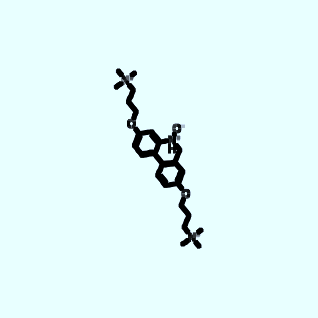 C[N+](C)(C)CCCOc1ccc2c(c1)C[NH+]([O-])c1cc(OCCC[N+](C)(C)C)ccc1-2